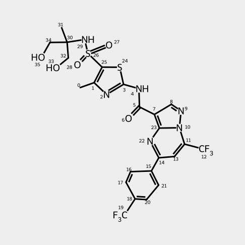 Cc1nc(NC(=O)c2cnn3c(C(F)(F)F)cc(-c4ccc(C(F)(F)F)cc4)nc23)sc1S(=O)(=O)NC(C)(CO)CO